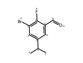 CC(C)c1cc(Br)c(F)c(C=O)c1